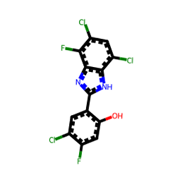 Oc1cc(F)c(Cl)cc1-c1nc2c(F)c(Cl)cc(Cl)c2[nH]1